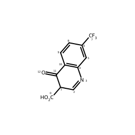 O=C(O)C1C=Nc2cc(C(F)(F)F)ccc2C1=O